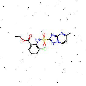 CCOC(=O)c1cccc(Cl)c1NS(=O)(=O)c1nc2nc(C)ccn2n1